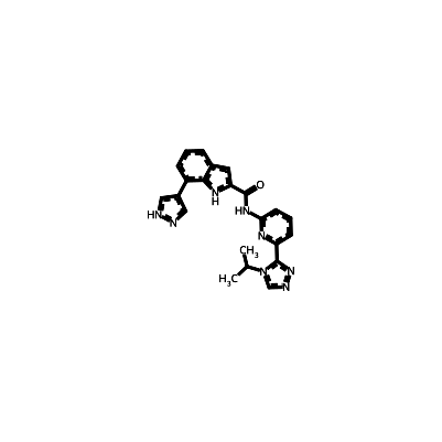 CC(C)n1cnnc1-c1cccc(NC(=O)c2cc3cccc(-c4cn[nH]c4)c3[nH]2)n1